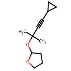 CC(C)(C#CC1CC1)OC1CCCO1